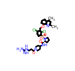 Cc1cc(C)c2cccc(OCc3c(Cl)ccc(S(=O)(=O)N4CCC[C@H]4C(=O)NC4CCN(C(=O)CCNC(=N)N)CC4)c3Cl)c2n1